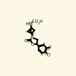 O=C(O)NC12CC(N3CC(c4ccc(Cl)c(F)c4)OC3=O)(C1)C2